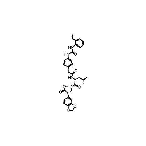 CCc1ccccc1NC(=O)Nc1ccc(CC(=O)N[C@@H](CC(C)C)C(=O)NC[C@@H](C(=O)O)c2ccc3c(c2)OCO3)cc1